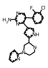 Nc1ncc(-c2cccc(Cl)c2F)c(-c2c[nH]c(C3CN(c4ccccn4)CC[N]3)c2)n1